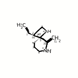 C=C[C@H]1CN[C@]12CCCNC2=C